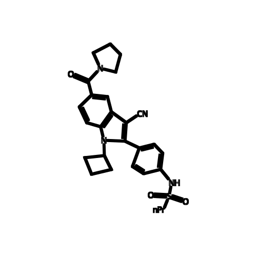 CCCS(=O)(=O)Nc1ccc(-c2c(C#N)c3cc(C(=O)N4CCCC4)ccc3n2C2CCC2)cc1